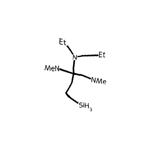 CCN(CC)C(C[SiH3])(NC)NC